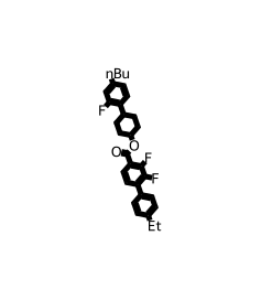 CCCCc1ccc(C2CCC(OC(=O)c3ccc(-c4ccc(CC)cc4)c(F)c3F)CC2)c(F)c1